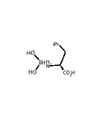 CC(C)C[C@H](N)C(=O)O.OBO